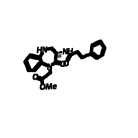 COC(=O)CN1C(=O)[C@@H](NC(=O)CCc2ccccc2)CNc2ccccc21